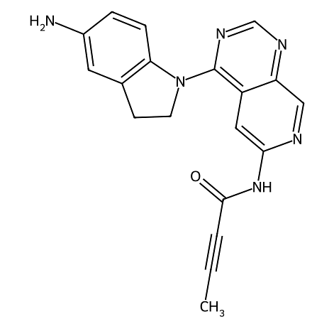 CC#CC(=O)Nc1cc2c(N3CCc4cc(N)ccc43)ncnc2cn1